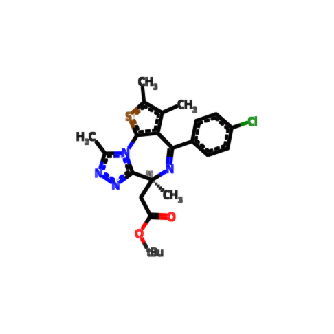 Cc1sc2c(c1C)C(c1ccc(Cl)cc1)=N[C@@](C)(CC(=O)OC(C)(C)C)c1nnc(C)n1-2